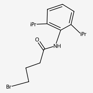 CC(C)c1cccc(C(C)C)c1NC(=O)CCCBr